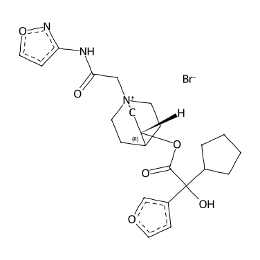 O=C(C[N+]12CCC(CC1)[C@@H](OC(=O)C(O)(c1ccoc1)C1CCCC1)C2)Nc1ccon1.[Br-]